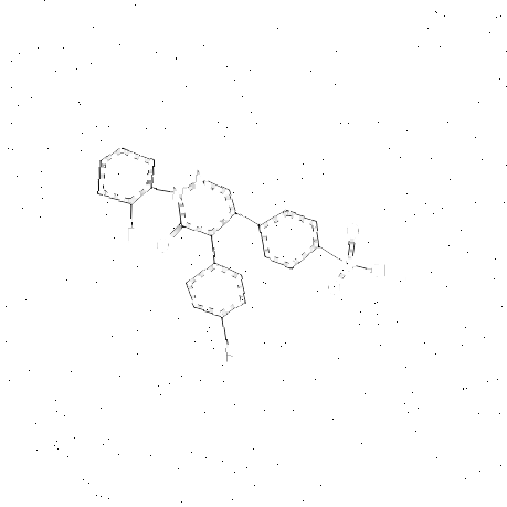 CS(=O)(=O)c1ccc(-c2cnn(-c3ccccc3F)c(=O)c2-c2ccc(F)cc2)cc1